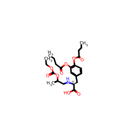 CCCC(=O)Oc1ccc(C[C@H](NCC(C)OC(=O)OCC)C(=O)O)cc1OC(=O)CCC